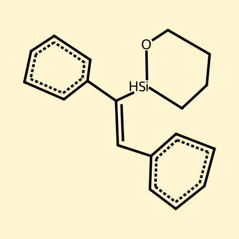 C(=C(c1ccccc1)[SiH]1CCCCO1)c1ccccc1